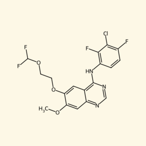 COc1cc2ncnc(Nc3ccc(F)c(Cl)c3F)c2cc1OCCOC(F)F